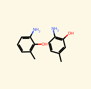 Cc1ccc(N)c(O)c1.Cc1cccc(N)c1O